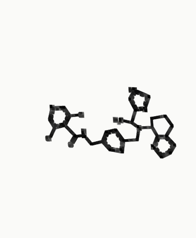 CC(c1c[nH]cn1)N(Cc1ccc(CNC(=O)c2c(Cl)cncc2Cl)cc1)C1CCCc2cccnc21